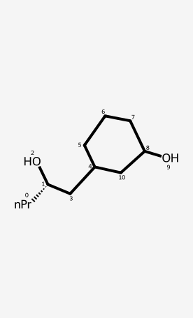 CCC[C@H](O)CC1CCCC(O)C1